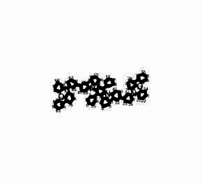 c1ccc(-c2c3c4cccc5c6cc(-c7cccc(N(c8ccccc8)c8cccc9c8oc8ccccc89)c7)ccc6n(c3c(-c3ccccc3)c3c6cccc7c8cc(-c9cccc(N(c%10ccccc%10)c%10cccc%11c%10oc%10ccccc%10%11)c9)ccc8n(c23)c76)c54)cc1